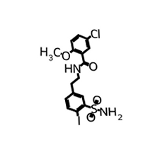 COc1ccc(Cl)cc1C(=O)NCCc1ccc(I)c(S(N)(=O)=O)c1